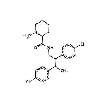 CC(c1ccc(Cl)cc1)C(CNC(=O)C1CCCCN1C)c1ccc(Cl)cc1